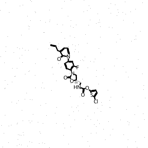 C=CCc1cccn(-c2ccc(N3C[C@H](CNC(=O)Oc4ccc(Cl)s4)OC3=O)c(F)c2)c1=O